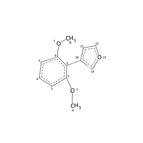 COc1cccc(OC)c1-c1ccoc1